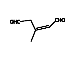 CC(=CC=O)CC=O